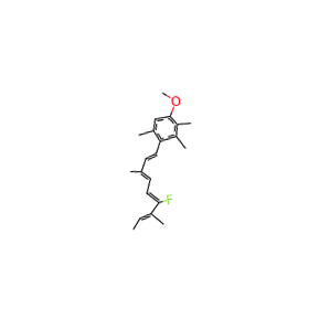 CC=C(C)C(F)=CC=C(C)C=Cc1c(C)cc(OC)c(C)c1C